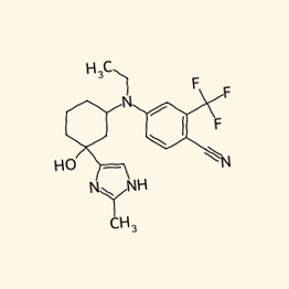 CCN(c1ccc(C#N)c(C(F)(F)F)c1)C1CCCC(O)(c2c[nH]c(C)n2)C1